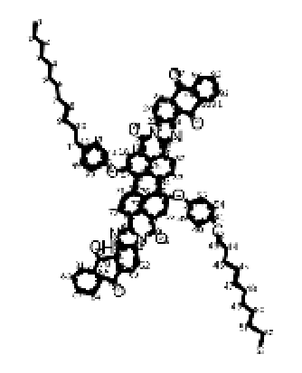 CCCCCCCCCCCCc1ccc(Oc2cc3c(=O)n4c5ccc6c(c5nc4c4ccc5c7c(Oc8ccc(CCCCCCCCCCCC)cc8)cc8c(=O)n9c%10ccc%11c(c%10nc9c9ccc(c2c5c34)c7c89)C(O)c2ccccc2C%11=O)C(=O)c2ccccc2C6=O)cc1